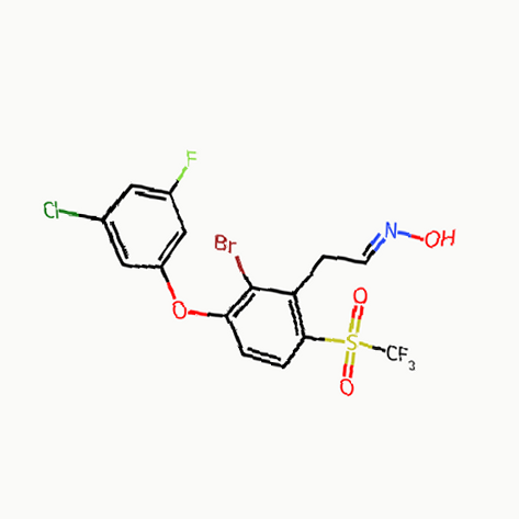 O=S(=O)(c1ccc(Oc2cc(F)cc(Cl)c2)c(Br)c1CC=NO)C(F)(F)F